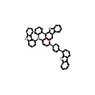 c1ccc(N(c2ccc(-c3ccc(-c4cccc5c4oc4ccccc45)cc3)cc2)c2cccc3oc4ccccc4c23)c(-c2cccc3c2oc2ccccc23)c1